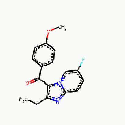 CCc1nc2ccc(F)cn2c1C(=O)c1ccc(OC)cc1